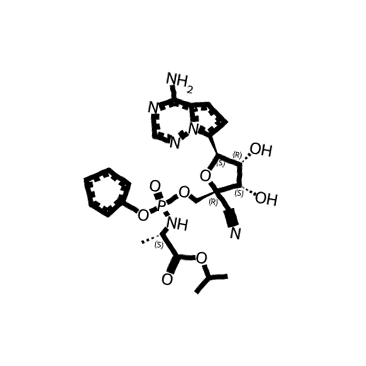 CC(C)OC(=O)[C@H](C)NP(=O)(OC[C@@]1(C#N)O[C@@H](c2ccc3c(N)ncnn23)[C@H](O)[C@@H]1O)Oc1ccccc1